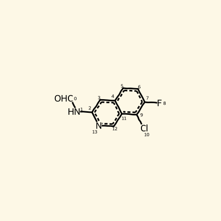 O=CNc1cc2ccc(F)c(Cl)c2cn1